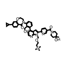 CC1(O)CCN(C(=O)c2ccc(-c3cc4c(-c5cccc(N6CCOc7cc(C8CC8)ccc7C6=O)c5CO)ccnc4n3COCC[Si](C)(C)C)nc2)CC1